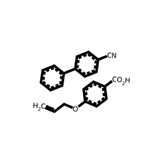 C=CCOc1ccc(C(=O)O)cc1.N#Cc1ccc(-c2ccccc2)cc1